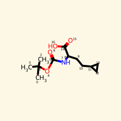 CC(C)(C)OC(=O)NC(CCC1CC1)C(=O)O